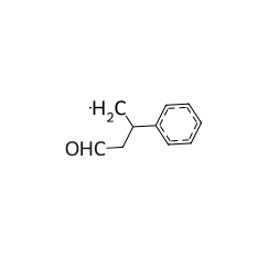 [CH2]C(CC=O)c1ccccc1